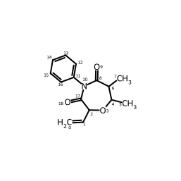 C=CC1OC(C)C(C)C(=O)N(c2ccccc2)C1=O